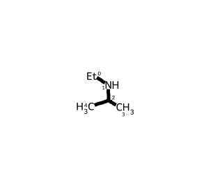 CCN[C](C)C